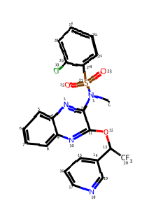 CN(c1nc2ccccc2nc1OC(c1cccnc1)C(F)(F)F)S(=O)(=O)c1ccccc1Cl